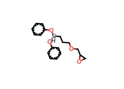 c1ccc(O[SiH](CCCOCC2CO2)Oc2ccccc2)cc1